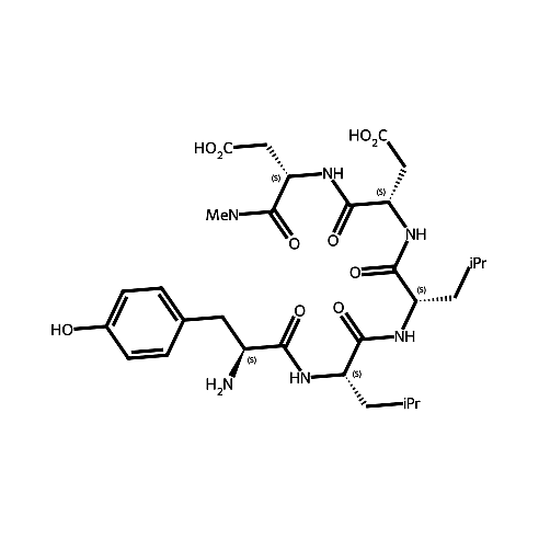 CNC(=O)[C@H](CC(=O)O)NC(=O)[C@H](CC(=O)O)NC(=O)[C@H](CC(C)C)NC(=O)[C@H](CC(C)C)NC(=O)[C@@H](N)Cc1ccc(O)cc1